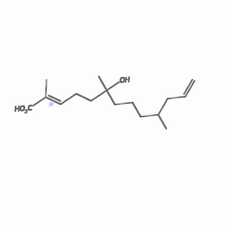 C=CCC(C)CCCC(C)(O)CC/C=C(\C)C(=O)O